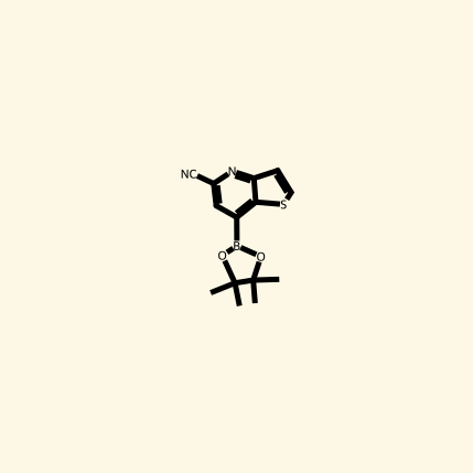 CC1(C)OB(c2cc(C#N)nc3ccsc23)OC1(C)C